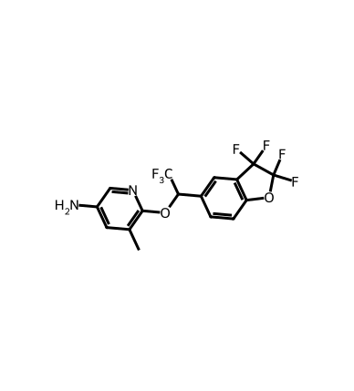 Cc1cc(N)cnc1OC(c1ccc2c(c1)C(F)(F)C(F)(F)O2)C(F)(F)F